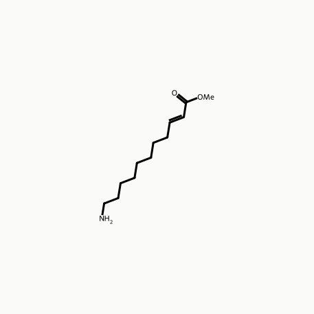 COC(=O)/C=C/CCCCCCCCN